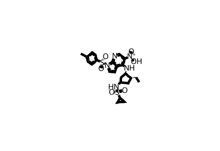 CC[C@@H]1CC(NS(=O)(=O)C2CC2)C[C@@H]1Nc1c([N+](=O)O)cnc2c1ccn2S(=O)(=O)c1ccc(C)cc1